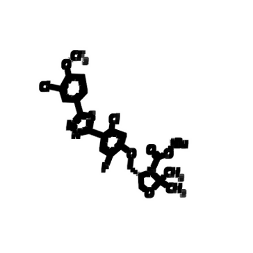 CC(C)(C)OC(=O)N1[C@@H](COc2cc(Cl)c(-c3nnc(-c4ccc(OC(F)(F)F)c(Cl)c4)s3)cc2F)COC1(C)C